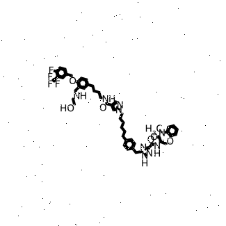 CN1C(=O)[C@@H](NC(=O)c2n[nH]c(Cc3ccc(CCCCCCn4cc(C(=O)NCCCCc5ccc(OCc6ccc(F)c(C(F)(F)F)c6)c(CNCCO)c5)cn4)cc3)n2)COc2ccccc21